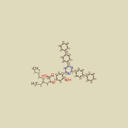 CCCCCC(CC)CC(Oc1ccc(-c2nc(-c3ccc(-c4ccccc4)cc3)nc(-c3ccc(-c4ccccc4)cc3)n2)c(O)c1)C(=O)O